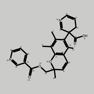 Cc1c(C)c(C2(C(=O)O)C=NC=CC2)c(C)c2c1OC(C)(COC(=O)c1cccnc1)C=C2